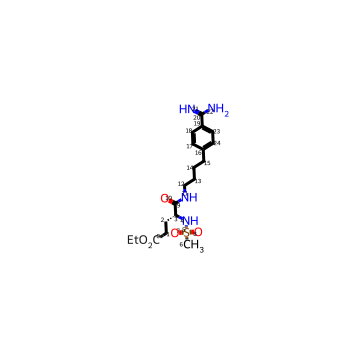 CCOC(=O)CC[C@@H](NS(C)(=O)=O)C(=O)NCCCCc1ccc(C(=N)N)cc1